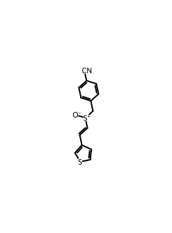 N#Cc1ccc(C[S+]([O-])C=Cc2ccsc2)cc1